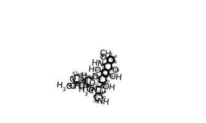 COc1cccc2c1C(=N)c1c(O)c3c(c(O)c1C2=O)C[C@@](O)(C(=O)CN(C)C1CCNCC1)C[C@@H]3O[C@H]1C[C@H]2[C@H](O[C@@H]3[C@@H](OC)OCCN32)[C@H](C)O1